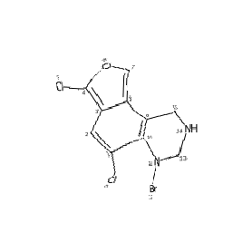 Clc1cc2c(Cl)occ2c2c1N(Br)CNC2